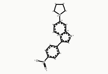 O=[N+]([O-])c1ccc(-c2cnc3cc(N4CCCC4)ccn23)cc1